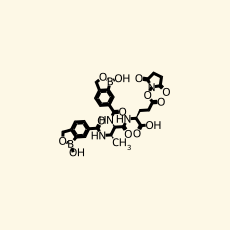 C[C@H](NC(=O)c1ccc2c(c1)B(O)OC2)[C@H](NC(=O)c1ccc2c(c1)B(O)OC2)C(=O)N[C@@H](CCC(=O)ON1C(=O)CCC1=O)C(=O)O